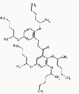 CCCCC(C)Oc1ccc(OC(C)CCCC)c(CCC(=O)c2cc(OC(C)CCCC)cc(OC(C)CCCC)c2OC(C)CCCC)c1